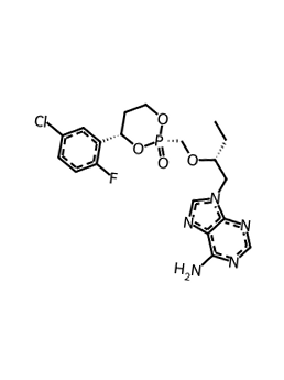 CC[C@H](Cn1cnc2c(N)ncnc21)OC[P@@]1(=O)OCC[C@@H](c2cc(Cl)ccc2F)O1